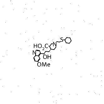 COc1ccc2nccc([C@H](O)CC[C@@H]3CCN(CCSC4CCCCC4)C[C@@H]3C(=O)O)c2c1